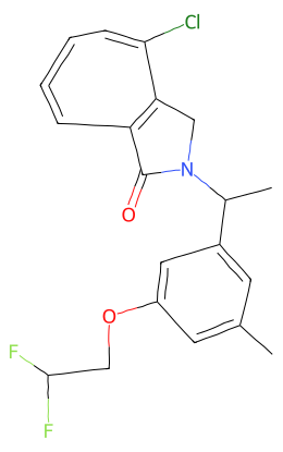 Cc1cc(OCC(F)F)cc(C(C)N2CC3=C(C=C=CC=C3Cl)C2=O)c1